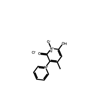 CC1=C([n+]2ccccc2)C(=O)[NH+]([O-])C(O)=C1.[Cl-]